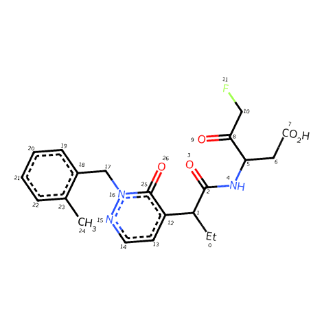 CCC(C(=O)NC(CC(=O)O)C(=O)CF)c1ccnn(Cc2ccccc2C)c1=O